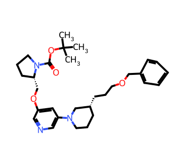 CC(C)(C)OC(=O)N1CCC[C@H]1COc1cncc(N2CCC[C@@H](CCCOCc3ccccc3)C2)c1